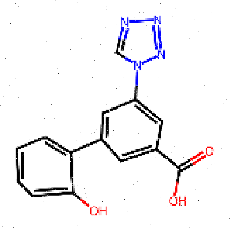 O=C(O)c1cc(-c2ccccc2O)cc(-n2cnnn2)c1